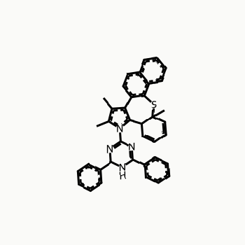 Cc1c2c(n(C3=NC(c4ccccc4)NC(c4ccccc4)=N3)c1C)C1C=CC=CC1(C)Sc1c-2ccc2ccccc12